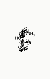 COC(=O)NC(CS[P@](=O)(N[C@@H](C)C(=O)OC(C)C)OC[C@H]1OC(n2cnc3c(OC)nc(N)nc32)[C@](C)(O)[C@@H]1O)C(=O)OC(C)C